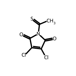 CC(=S)N1C(=O)C(Cl)=C(Cl)C1=O